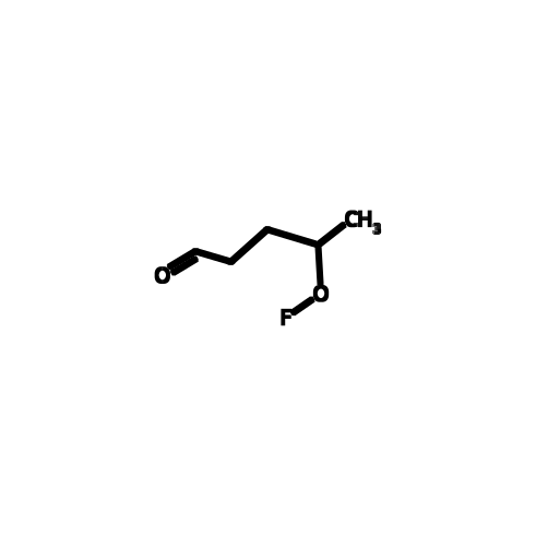 CC(CCC=O)OF